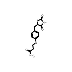 NC(=O)CCOc1ccc(CC2SC(=O)NC2=O)cc1